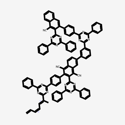 C=C/C=C\C=C(/C)c1nc(-c2ccccc2)nc(-c2ccc(-c3c(-c4nc(-c5ccccc5)nc(-c5ccccc5)n4)c(C#N)c4cc(-c5cccc(-c6nc(-c7ccccc7)nc(-c7ccc(-c8cc9ccccc9c(C#N)c8-c8nc(-c9ccccc9)nc(-c9ccccc9)n8)cc7)n6)c5)ccc4c3C#N)cc2)n1